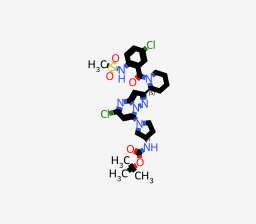 CC(C)(C)OC(=O)N[C@H]1CCN(c2cc(Cl)nc3cc([C@@H]4CCCCN4C(=O)c4cc(Cl)ccc4NS(C)(=O)=O)nn23)C1